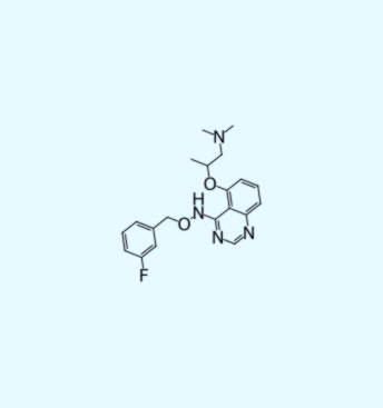 CC(CN(C)C)Oc1cccc2ncnc(NOCc3cccc(F)c3)c12